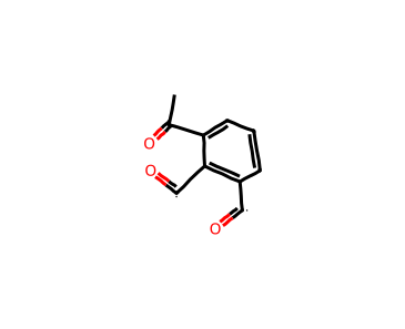 CC(=O)c1cccc([C]=O)c1[C]=O